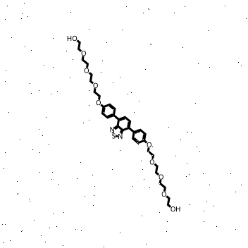 OCCOCCOCCOCCOc1ccc(-c2ccc(-c3ccc(OCCOCCOCCOCCO)cc3)c3nsnc23)cc1